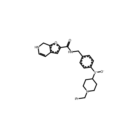 CC(C)CN1CCC([S+]([O-])c2ccc(CNC(=O)c3cc4c(o3)CNC=C4)cc2)CC1